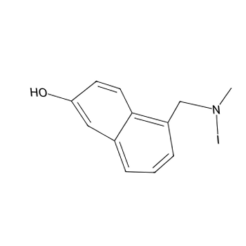 CN(I)Cc1cccc2cc(O)ccc12